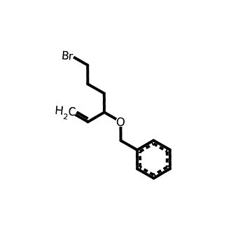 C=CC(CCCBr)OCc1ccccc1